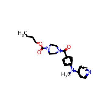 CCCCOC(=O)N1CCN(C(=O)c2ccc(N(C)c3ccncc3)cc2)CC1